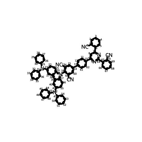 N#Cc1ccccc1-c1cc(-c2ccc(-c3cc(C#N)c(-n4c5ccc(N(c6ccccc6)c6ccccc6)cc5c5cc(N(c6ccccc6)c6ccccc6)ccc54)c(C#N)c3)cc2)nc(-c2ccccc2C#N)n1